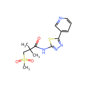 CC(C)(CS(C)(=O)=O)C(=O)Nc1nnc(-c2cccnc2)s1